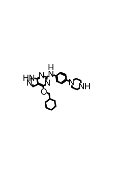 c1cc(N2CCNCC2)ccc1Nc1nc(OCC2CCCCC2)c2cn[nH]c2n1